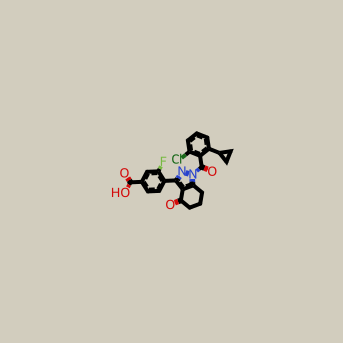 O=C(O)c1ccc(-c2nn(C(=O)c3c(Cl)cccc3C3CC3)c3c2C(=O)CCC3)c(F)c1